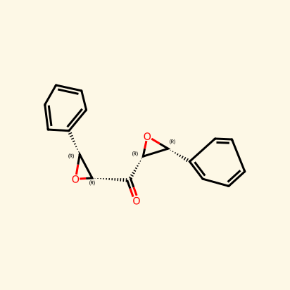 O=C([C@@H]1O[C@@H]1c1ccccc1)[C@@H]1O[C@@H]1c1ccccc1